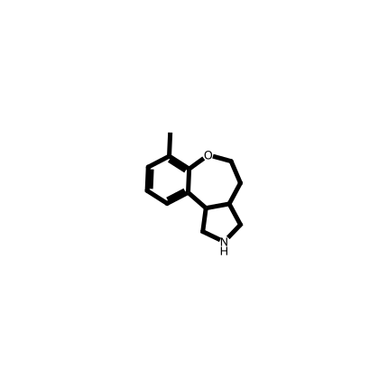 Cc1cccc2c1OCCC1CNCC21